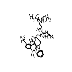 CN(C)CCN/C(=N/C#N)NC[C@H]1CC[C@@H]2[C@H](O1)c1cc(C(F)(F)F)ccc1N[C@H]2c1ccccc1